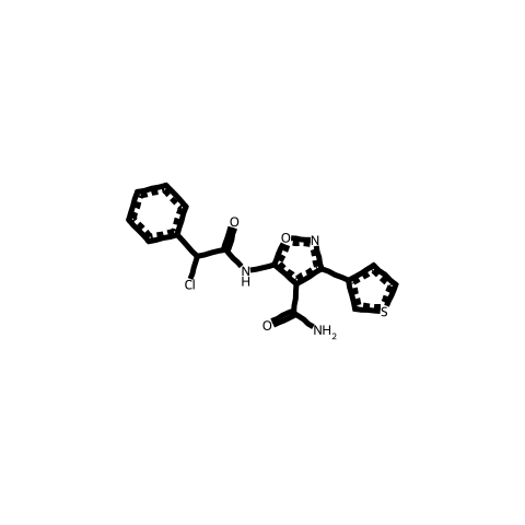 NC(=O)c1c(-c2ccsc2)noc1NC(=O)C(Cl)c1ccccc1